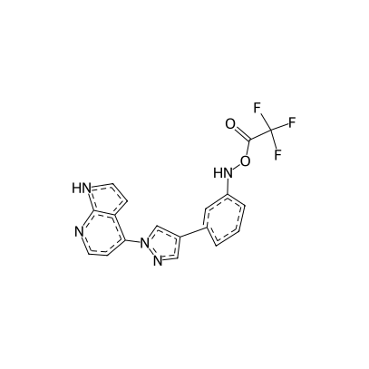 O=C(ONc1cccc(-c2cnn(-c3ccnc4[nH]ccc34)c2)c1)C(F)(F)F